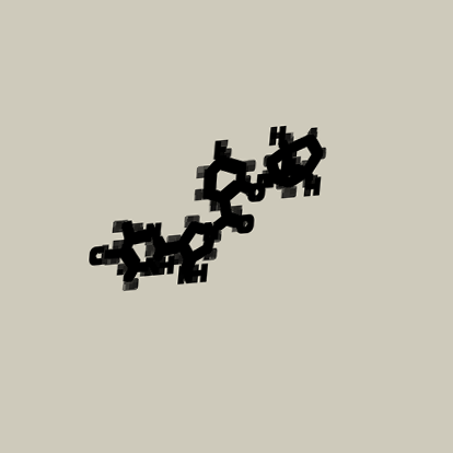 CCCN1[C@@H]2CC[C@H]1C[C@@H](Oc1cc(F)ccc1C(=O)N1CC(=N)/C(=C3/N=C(C)C(Cl)=C(C)N3)C1)C2